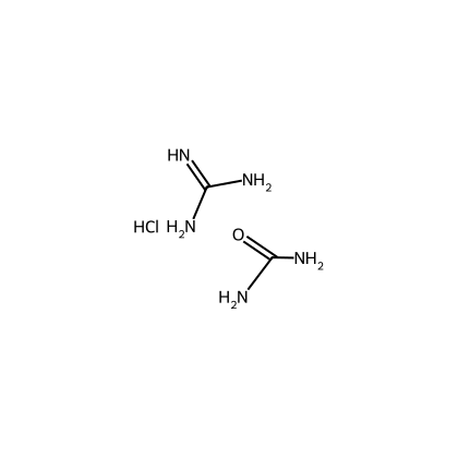 Cl.N=C(N)N.NC(N)=O